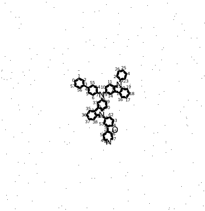 c1ccc(-c2ccc(N(c3ccc4c(c3)c3ccccc3n4-c3ccccc3)c3ccc4c(c3)c3ccccc3n4-c3ccc4oc5cnccc5c4c3)cc2)cc1